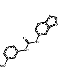 COc1cccc(NC(=O)Nc2ccc3ncoc3c2)c1